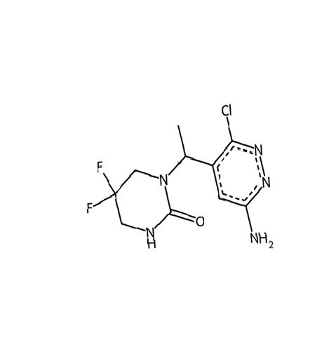 CC(c1cc(N)nnc1Cl)N1CC(F)(F)CNC1=O